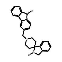 CCn1c2ccccc2c2cc(CN3CCC4(CC3)c3ccccc3C[S+]4[O-])ccc21